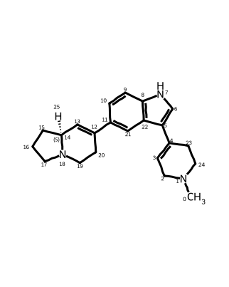 CN1CC=C(c2c[nH]c3ccc(C4=C[C@@H]5CCCN5CC4)cc23)CC1